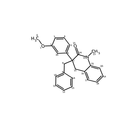 COc1cccc(C2(Cc3ccccc3)Cc3ccccc3N(C)C2=O)c1